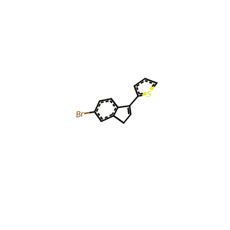 Brc1ccc2c(c1)CC=C2c1cccs1